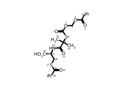 CC(C)C(=O)OCOC(=O)SC(C)(C)C(=O)N[C@@H](CSC(=O)C(C)C)C(=O)O